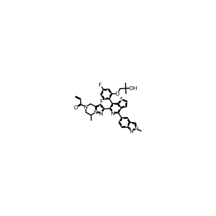 C=CC(=O)N1Cc2cc(-c3nc(-c4ccc5nn(C)cc5c4)c4ccsc4c3-c3c(F)cc(F)cc3OCC(C)(C)O)nn2C(C)C1